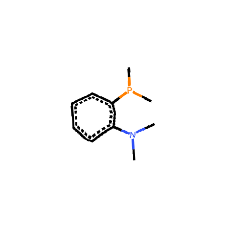 CN(C)c1ccccc1P(C)C